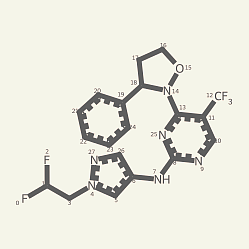 FC(F)Cn1cc(Nc2ncc(C(F)(F)F)c(N3OCCC3c3ccccc3)n2)cn1